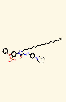 CCCCCCCCCCCCCCCCCC1=NN(c2ccc(Oc3ccccc3)c(S(=O)(=O)O)c2)C(=O)C1/N=N/c1ccc(N(CC)CC)cc1